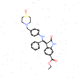 CCOC(=O)c1ccc2c(c1)NC(=O)/C2=C(\Nc1ccc(CN2CC[S+]([O-])CC2)cc1)c1ccccc1